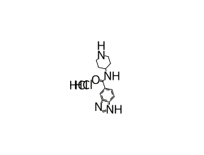 Cl.Cl.O=C(NC1CCNCC1)c1ccc2[nH]cnc2c1